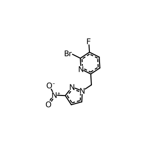 O=[N+]([O-])c1ccn(Cc2ccc(F)c(Br)n2)n1